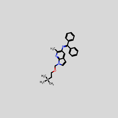 Cc1nc2c(ccn2COCC[Si](C)(C)C)cc1N=C(c1ccccc1)c1ccccc1